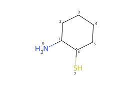 NC1CCCC[C]1S